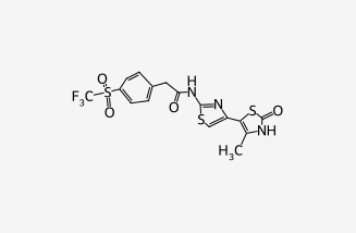 Cc1[nH]c(=O)sc1-c1csc(NC(=O)Cc2ccc(S(=O)(=O)C(F)(F)F)cc2)n1